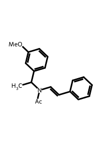 COc1cccc(C(C)N(C=Cc2ccccc2)C(C)=O)c1